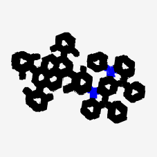 Cc1cccc(C)c1-c1cc(-c2c(C)cccc2C)c2ccc3c(-c4c(C)cc(N5c6ccccc6B(c6ccccc6)c6cc7c(cc65)N(c5ccccc5)c5ccccc5B7c5ccccc5)cc4C)cc(-c4c(C)cccc4C)c4ccc1c2c43